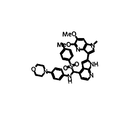 COc1cc2c(nc1OC)c(-c1cc3c(C(Nc4ccc(N5CCOCC5)cc4)S(=O)(=O)c4ccc(C)cc4)ccnc3[nH]1)cn2C